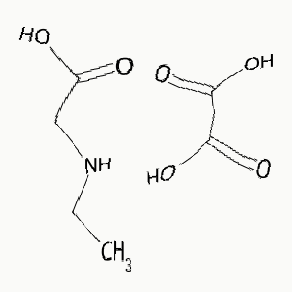 CCNCC(=O)O.O=C(O)C(=O)O